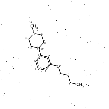 CCCCOc1cncc(N2CCN(C)CC2)c1